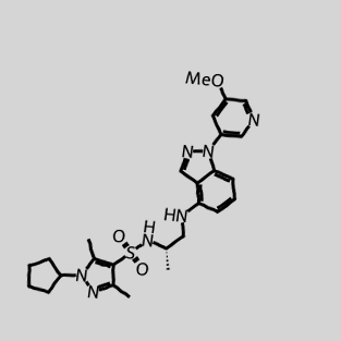 COc1cncc(-n2ncc3c(NC[C@H](C)NS(=O)(=O)c4c(C)nn(C5CCCC5)c4C)cccc32)c1